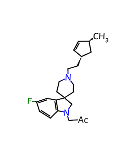 CC(=O)CN1CC2(CCN(CC[C@H]3C=C[C@@H](C)C3)CC2)c2cc(F)ccc21